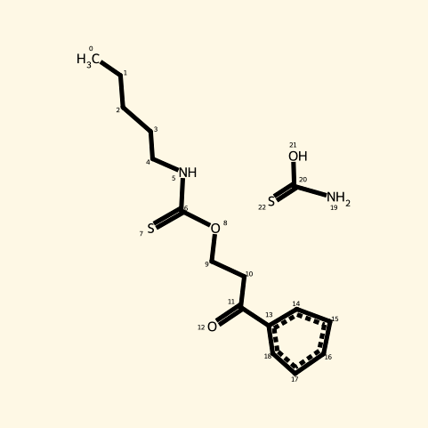 CCCCCNC(=S)OCCC(=O)c1ccccc1.NC(O)=S